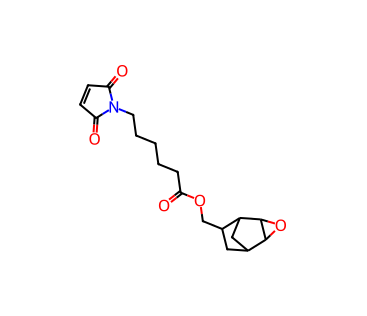 O=C(CCCCCN1C(=O)C=CC1=O)OCC1CC2CC1C1OC21